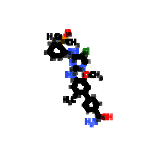 COc1cc(-c2ccc(C(N)O)cc2)c(C)cc1Nc1ncc(Cl)c(Nc2ccccc2P(C)(C)=O)n1